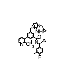 Cc1cc(C(NC(=O)c2cc(Cn3ccn(CC4CC4)c3=N)cc(-c3cccnc3C(F)(F)F)c2)C2CC2)ccc1F